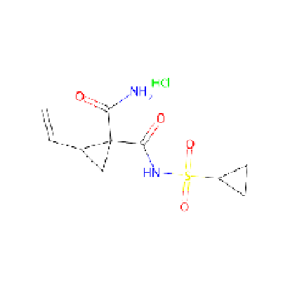 C=CC1CC1(C(N)=O)C(=O)NS(=O)(=O)C1CC1.Cl